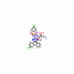 C[C@@H](O)[C@H](N/C(=N\S(=O)(=O)c1ccc(Cl)cc1)N1C[C@@H](c2ccccc2)C(c2ccc(Cl)cc2)=N1)C(N)=O